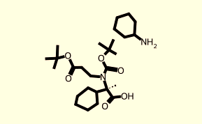 CC(C)(C)OC(=O)CCN(C(=O)OC(C)(C)C)[C@@](C)(C(=O)O)C1CCCCC1.NC1CCCCC1